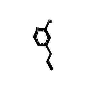 C=CCc1ccnc(S)c1